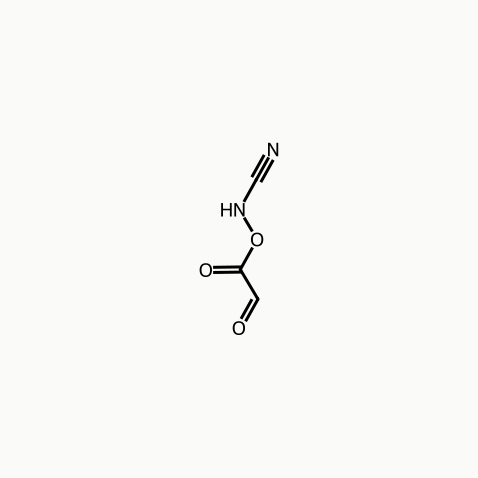 N#CNOC(=O)C=O